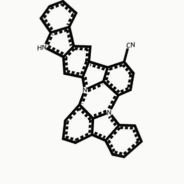 N#Cc1ccc2c3c1c1cc4c(cc1n3c1cccc3c5ccccc5n2c31)[nH]c1ccccc14